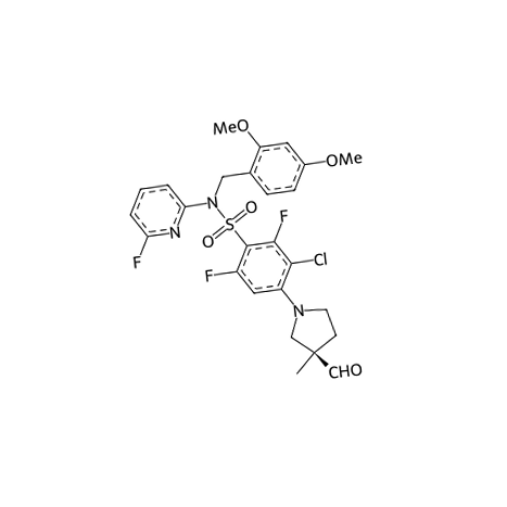 COc1ccc(CN(c2cccc(F)n2)S(=O)(=O)c2c(F)cc(N3CC[C@@](C)(C=O)C3)c(Cl)c2F)c(OC)c1